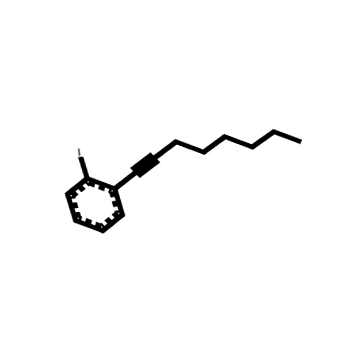 CCCCCCC#Cc1ccccc1I